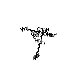 [N-]=[N+]=NCCCCCC(=O)NCCCC(O)(OC(=O)C(CCCCN=[N+]=[N-])P(=O)([O-])[O-])P(=O)(O)O.[Na+].[Na+]